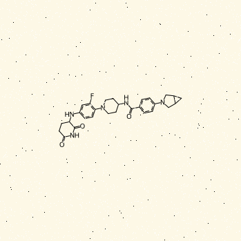 O=C1CCC(Nc2ccc(N3CCC(NC(=O)c4ccc(N5CC6CC6C5)cc4)CC3)c(F)c2)C(=O)N1